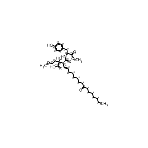 CCCCCCCC(=O)CCCCCC/C=C/[C@H](C(=O)N[C@@H](Cc1ccc(O)cc1)C(=O)OC)[C@@](O)(CCOC)C(=O)O